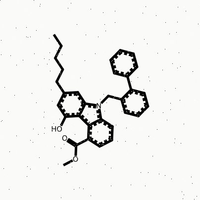 CCCCCc1cc(O)c2c3c(C(=O)OC)cccc3n(Cc3ccccc3-c3ccccc3)c2c1